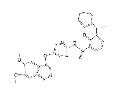 COc1cc2nccc(Oc3ccc(NC(=O)c4cccn([C@@H](C)c5ccccc5)c4=O)nc3)c2cc1OC